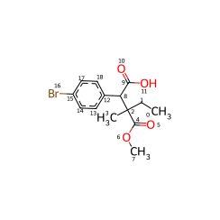 CCC(C)(C(=O)OC)C(C(=O)O)c1ccc(Br)cc1